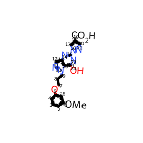 COc1cccc(OCCCn2ncc3nc(-n4cc(C(=O)O)cn4)nc(O)c32)c1